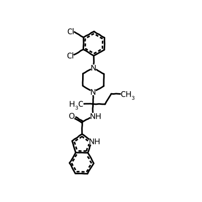 CCCC(C)(NC(=O)c1cc2ccccc2[nH]1)N1CCN(c2cccc(Cl)c2Cl)CC1